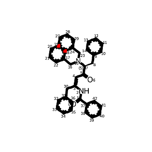 O=C(NC(=CC(=O)[C@H](Cc1ccccc1)N(Cc1ccccc1)Cc1ccccc1)Cc1ccccc1)c1ccccc1